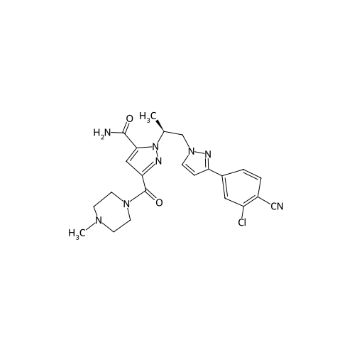 C[C@@H](Cn1ccc(-c2ccc(C#N)c(Cl)c2)n1)n1nc(C(=O)N2CCN(C)CC2)cc1C(N)=O